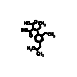 C=C(C)Cc1ccc(C(CC)=C(C(=O)O)C(=O)O)c(CC)c1